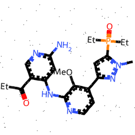 CCC(=O)c1cnc(N)cc1Nc1nccc(-c2cc(P(=O)(CC)CC)n(C)n2)c1OC